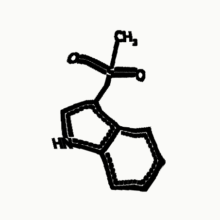 CS(=O)(=O)c1c[nH]c2ccccc12